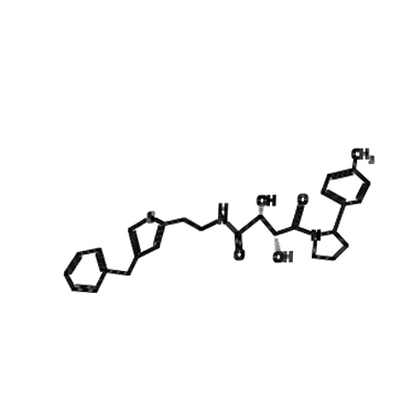 Cc1ccc(C2CCCN2C(=O)[C@H](O)[C@@H](O)C(=O)NCCc2cc(Cc3ccccc3)cs2)cc1